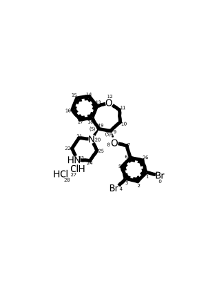 Brc1cc(Br)cc(CO[C@H]2CCOc3ccccc3[C@@H]2N2CCNCC2)c1.Cl.Cl